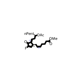 CCCCC[C@@H](C/C=C1/C(=O)C(F)=C[C@@H]1C/C=C\CCCC(=O)OC)OC(C)=O